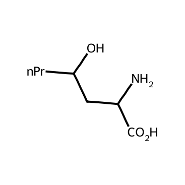 CCCC(O)CC(N)C(=O)O